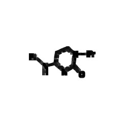 CCNc1ccn(C(C)C)c(=O)n1